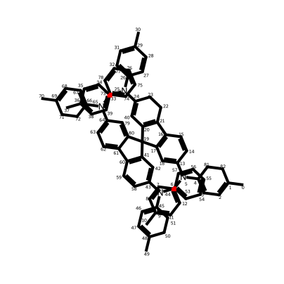 CC1=CC=C(N(c2ccc(C)cc2)c2ccc3c(c2)C2(C4=C3CCC(N(c3ccc(C)cc3)c3ccc(C)cc3)=C4)c3cc(N(C4=CC=C(C)CC4)c4ccccc4)ccc3-c3ccc(N(C4=CC=C(C)CC4)c4ccccc4)cc32)CC1